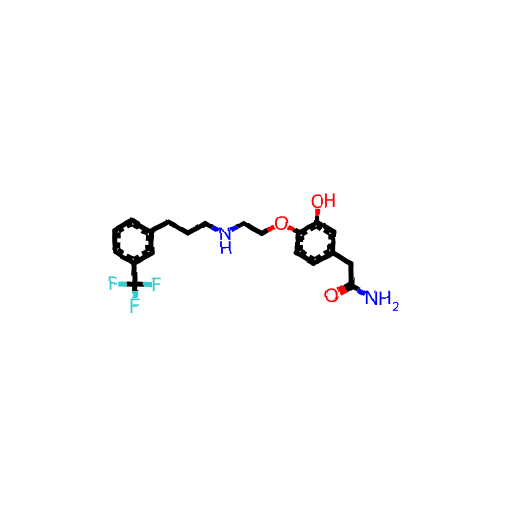 NC(=O)Cc1ccc(OCCNCCCc2cccc(C(F)(F)F)c2)c(O)c1